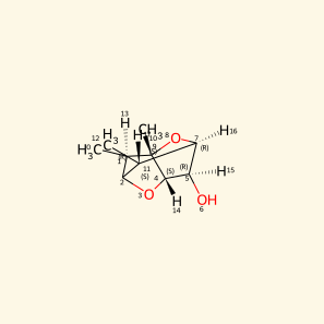 C[C@@H]1C2O[C@H]3[C@H](O)[C@H](O[C@@]13C)[C@H]2C